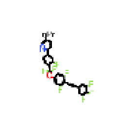 CCCc1ccc(-c2ccc(C(F)(F)Oc3cc(F)c(C#Cc4cc(F)c(F)c(F)c4)c(F)c3)c(F)c2)nc1